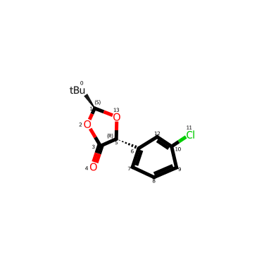 CC(C)(C)[C@@H]1OC(=O)[C@@H](c2cccc(Cl)c2)O1